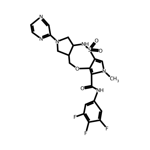 Cn1cc2c(c1C(=O)Nc1cc(F)c(F)c(F)c1)OCC1CN(c3cnccn3)CC1NS2(=O)=O